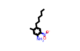 CCCCCCc1cc([N+](=O)[O-])c(N)cc1C